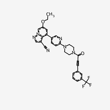 CCOc1cc(-c2ccc(N3CCN(C(=O)C#Cc4cccc(C(F)(F)F)c4)CC3)nc2)c2c(C#N)cnn2c1